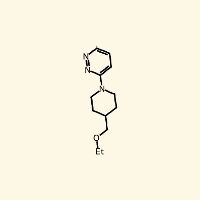 CCOCC1CCN(c2cc[c]nn2)CC1